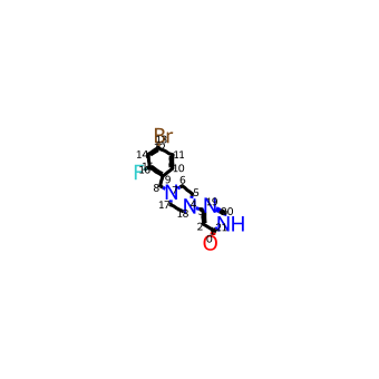 O=c1cc(N2CCN(Cc3ccc(Br)cc3F)CC2)nc[nH]1